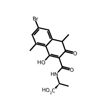 Cc1cc(Br)cc2c1C(O)=C(C(=O)N[C@@H](C)C(=O)O)C(=O)C2C